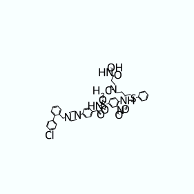 CN(CCC(=O)NO)CCC(CSc1ccccc1)Nc1ccc(S(=O)(=O)NC(=O)c2ccc(N3CCN(Cc4ccccc4-c4ccc(Cl)cc4)CC3)cc2)cc1[N+](=O)[O-]